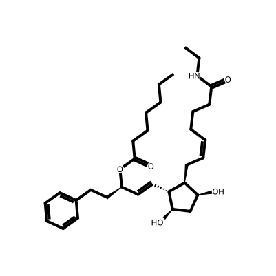 CCCCCCC(=O)O[C@@H](/C=C/[C@@H]1[C@@H](C/C=C\CCCC(=O)NCC)[C@@H](O)C[C@H]1O)CCc1ccccc1